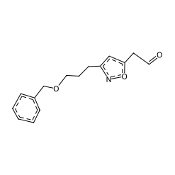 O=CCc1cc(CCCOCc2ccccc2)no1